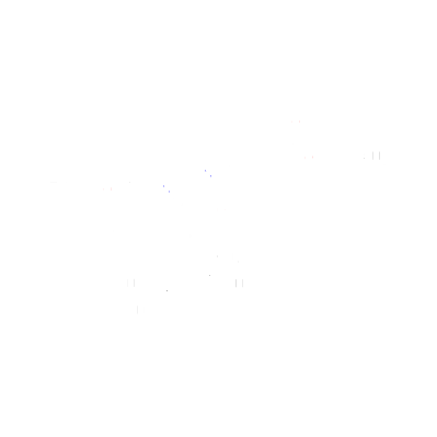 C=CCOC(=O)c1ccc(NC(=O)/C(=N/C(CC)C(=O)OCC)c2ccc3c(c2)C(C)(C)CCC3(C)C)cc1